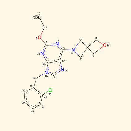 CC(C)(C)COc1nc(N2CC3(COC3)C2)c2ncn(Cc3ccccc3Cl)c2n1